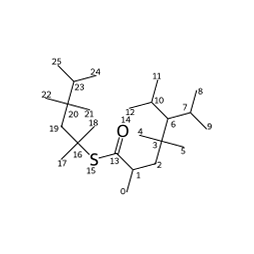 CC(CC(C)(C)C(C(C)C)C(C)C)C(=O)SC(C)(C)CC(C)(C)C(C)C